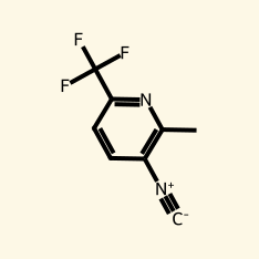 [C-]#[N+]c1ccc(C(F)(F)F)nc1C